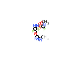 COc1ncc(F)cc1S(=O)(=O)Nc1ccc(F)c(COc2cnn3cnc(C)c3c2)c1F